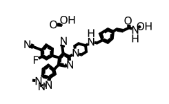 Cn1nnc2cc(-c3cnc(N4CCC(NCc5ccc(/C=C/C(=O)NO)cc5)CC4)c(C#N)c3-c3ccc(C#N)c(F)c3)ccc21.O=CO